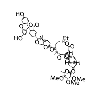 CC[C@H]1CCC[C@H](O[C@H]2CC[C@H](N(C)C(=O)c3ccc4c(c3)C(=O)OC43c4ccc(O)cc4Oc4cc(O)ccc43)C(C)O2)[C@@H](C)C(=O)C2=C[C@@H]3[C@@H](C=C[C@@H]4C[C@@H](O[C@@H]5OC(C)[C@H](OC)C(OC)C5OC)C[C@@H]34)[C@@H]2CC(=O)O1